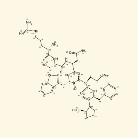 CSCC[C@H](NC(=O)[C@H](Cc1c[nH]c2ccccc12)NC(=O)[C@H](CC(N)=O)NC(=O)[C@H](CO)NC(=O)[C@@H](N)CCCNC(=N)N)C(=O)N[C@@H](Cc1ccccc1)C(=O)N1CCC[C@H]1C(=O)O